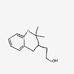 CC1(C)Oc2ccccc2CC1CCO